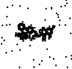 CN(CC(=O)Nc1c(F)cc(F)cc1F)Cc1ccc(-c2ccccc2-c2nnn[nH]2)cc1